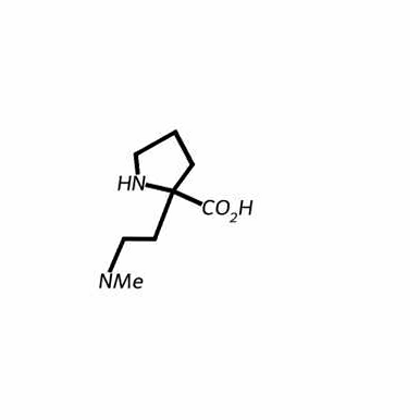 CNCCC1(C(=O)O)CCCN1